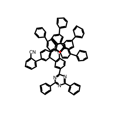 N#Cc1ccccc1-c1ccc(-n2c3ccc(-c4ccccc4)cc3c3cc(-c4ccccc4)ccc32)c(-c2cc(-c3nc(-c4ccccc4)nc(-c4ccccc4)n3)ccc2-n2c3ccc(-c4ccccc4)cc3c3cc(-c4ccccc4)ccc32)c1